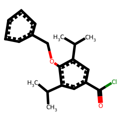 CC(C)c1cc(C(=O)Cl)cc(C(C)C)c1OCc1ccccc1